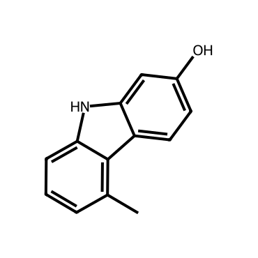 Cc1cccc2[nH]c3cc(O)ccc3c12